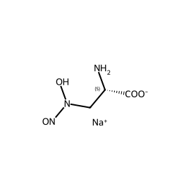 N[C@@H](CN(O)N=O)C(=O)[O-].[Na+]